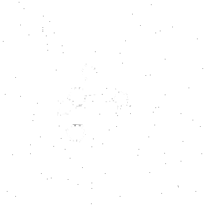 Cn1cnc(COc2nn3c(-c4ccccc4)nnc3cc2-c2cccs2)n1